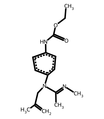 C=C(C)CN(C(C)=NC)c1ccc(NC(=O)OCC)cc1